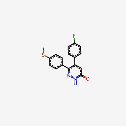 CSc1ccc(-c2n[nH]c(=O)cc2-c2ccc(F)cc2)cc1